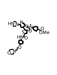 COC(=O)c1ccc(N(C)S(=O)(=O)c2cc(C(=O)Nc3ccc(OCCN4CCOCC4)cc3)sc2-c2ccnc(N3CCNCC3)c2)cc1